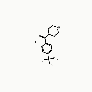 CC(C)(C)c1ccc(C(=O)C2CCNCC2)cc1.Cl